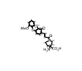 COc1ccccc1Sc1ccc(C=CC(=O)N2CCC(N)(C(=O)O)CC2)c(Cl)c1Cl